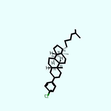 CC(C)CCCC[C@H]1CC[C@H]2[C@@H]3CC[C@H]4CC(c5ccc(Cl)cc5)CCC4(C)[C@H]3CC[C@]12C